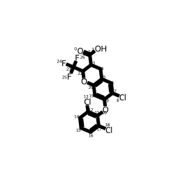 O=C(O)C1Cc2cc(Cl)c(Oc3c(Cl)cccc3Cl)cc2OC1C(F)(F)F